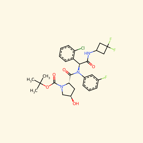 CC(C)(C)OC(=O)N1C[C@H](O)C[C@H]1C(=O)N(c1cccc(F)c1)[C@H](C(=O)NC1CC(F)(F)C1)c1ccccc1Cl